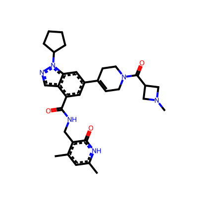 Cc1cc(C)c(CNC(=O)c2cc(C3=CCN(C(=O)C4CN(C)C4)CC3)cc3c2cnn3C2CCCC2)c(=O)[nH]1